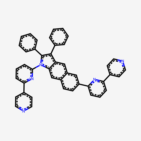 c1ccc(-c2c(-c3ccccc3)n(-c3cccc(-c4ccncc4)n3)c3cc4ccc(-c5cccc(-c6ccncc6)n5)cc4cc23)cc1